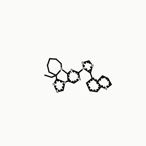 CCC12CCCCCN1c1nc(-n3ncnc3-c3cccc4ncccc34)ncc1-n1cnnc12